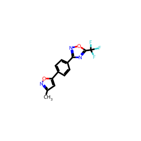 Cc1cc(-c2ccc(-c3noc(C(F)(F)F)n3)cc2)on1